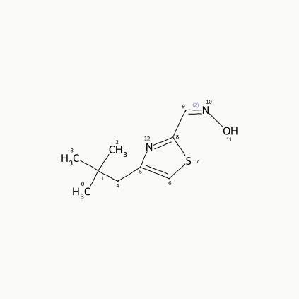 CC(C)(C)Cc1csc(/C=N\O)n1